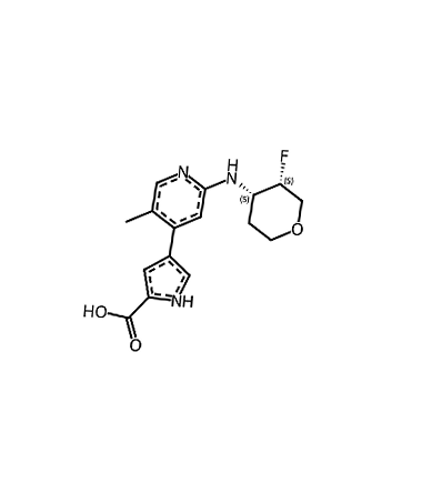 Cc1cnc(N[C@H]2CCOC[C@H]2F)cc1-c1c[nH]c(C(=O)O)c1